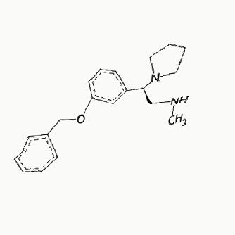 CNC[C@@H](c1cccc(OCc2ccccc2)c1)N1CCCC1